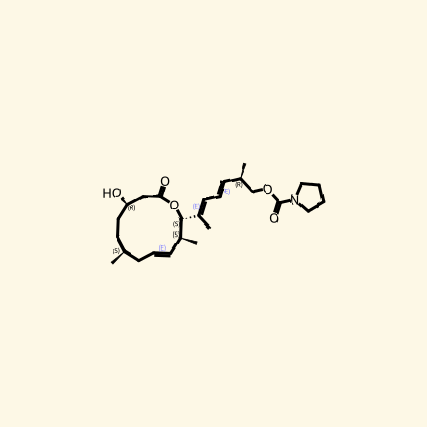 C/C(=C\C=C\[C@@H](C)COC(=O)N1CCCC1)[C@H]1OC(=O)C[C@H](O)CC[C@H](C)C/C=C/[C@@H]1C